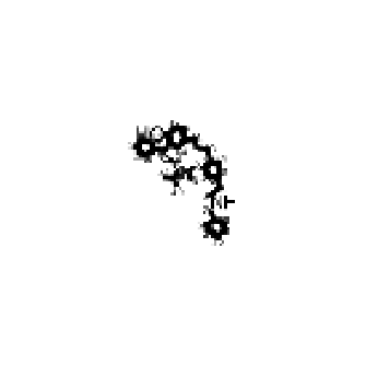 CC(C)N(CC[C@H](c1ccccc1)c1cc(CCCc2ccc(CCNCc3ccccc3)cc2)ccc1O)C(C)C